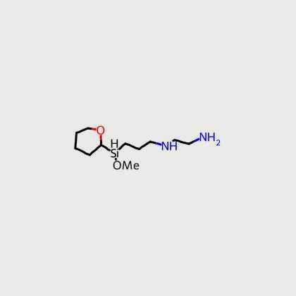 CO[SiH](CCCNCCN)C1CCCCO1